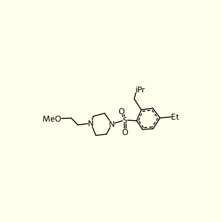 CCc1ccc(S(=O)(=O)N2CCN(CCOC)CC2)c(CC(C)C)c1